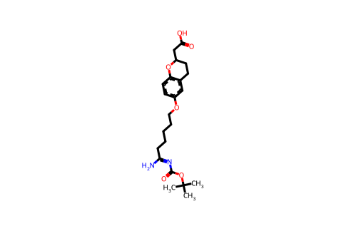 CC(C)(C)OC(=O)N=C(N)CCCCCOc1ccc2c(c1)CCC(CC(=O)O)O2